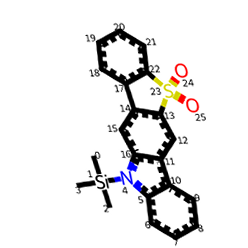 C[Si](C)(C)n1c2ccccc2c2cc3c(cc21)-c1ccccc1S3(=O)=O